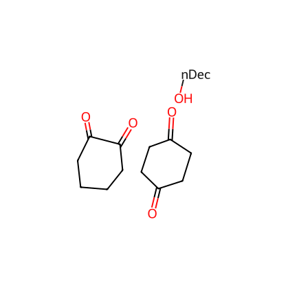 CCCCCCCCCCO.O=C1CCC(=O)CC1.O=C1CCCCC1=O